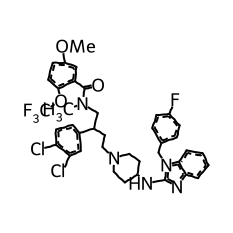 COc1ccc(OC(F)(F)F)c(C(=O)N(C)CC(CCN2CCC(Nc3nc4ccccc4n3Cc3ccc(F)cc3)CC2)c2ccc(Cl)c(Cl)c2)c1